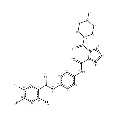 CN1CCN(C(=O)c2nc[nH]c2C(=O)Nc2ccc(NC(=O)c3cc(F)c(F)cc3Cl)cc2)CC1